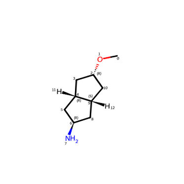 CO[C@H]1C[C@H]2C[C@H](N)C[C@H]2C1